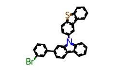 Brc1cccc(-c2ccc3c4ccccc4n(-c4ccc5sc6ccccc6c5c4)c3c2)c1